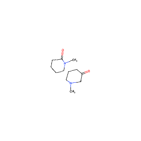 CN1CCCC(=O)C1.CN1CCCCC1=O